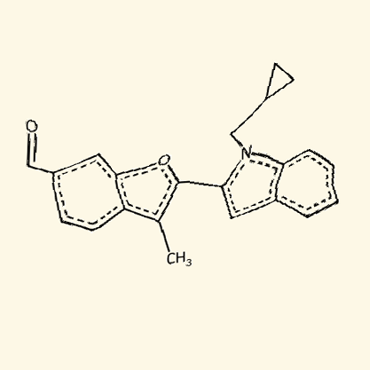 Cc1c(-c2cc3ccccc3n2CC2CC2)oc2cc(C=O)ccc12